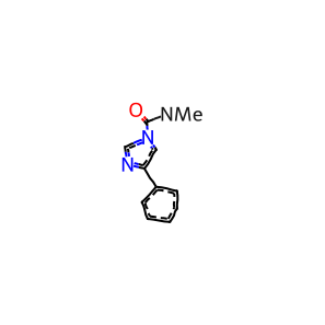 CNC(=O)n1cnc(-c2ccccc2)c1